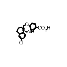 O=C(O)c1ccc2c(c1)NC[C@@]1(CCCc3cc(Cl)ccc31)CO2